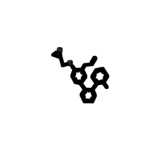 C=CCc1cc(-c2ccccc2-c2ccccc2C)ccc1OCC1CO1